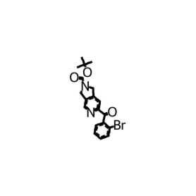 CC(C)(C)OC(=O)N1Cc2cnc(C(=O)c3ccccc3Br)cc2C1